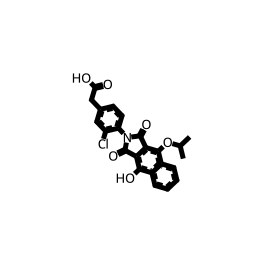 CC(C)Oc1c2c(c(O)c3ccccc13)C(=O)N(c1ccc(CC(=O)O)cc1Cl)C2=O